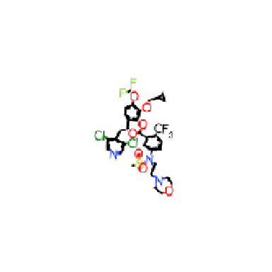 CS(=O)(=O)N(CCN1CCOCC1)c1ccc(C(F)(F)F)c(C(=O)O[C@@H](Cc2c(Cl)cncc2Cl)c2ccc(OC(F)F)c(OCC3CC3)c2)c1